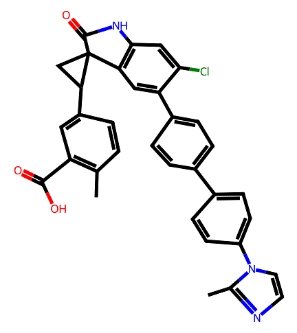 Cc1ccc(C2CC23C(=O)Nc2cc(Cl)c(-c4ccc(-c5ccc(-n6ccnc6C)cc5)cc4)cc23)cc1C(=O)O